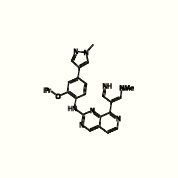 CN/C=C(\C=N)c1nccc2cnc(Nc3ccc(-c4cnn(C)c4)cc3OC(C)C)nc12